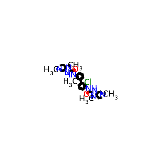 Cc1c(NC(=O)c2nc3c(n2C)CCN(C)C3)cccc1-c1cccc(NC(=O)c2nc3c(n2C)CCN(C)C3)c1Cl